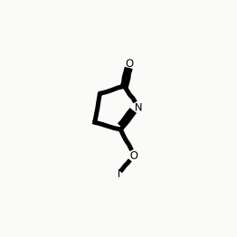 O=C1CCC(OI)=N1